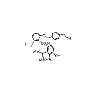 COC(=O)c1cccc(O)c1C(=O)OC.O=C(O)c1cccc(OCc2ccc(CO)cc2)c1C(=O)O